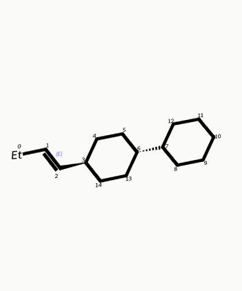 CC/C=C/[C@H]1CC[C@H](C2CCCCC2)CC1